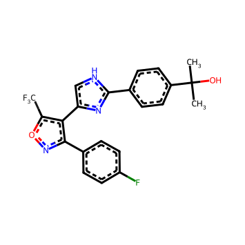 CC(C)(O)c1ccc(-c2nc(-c3c(-c4ccc(F)cc4)noc3C(F)(F)F)c[nH]2)cc1